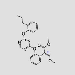 CCCc1ccccc1Oc1ncnc(Oc2ccccc2/C(=C\OC)C(=O)OC)n1